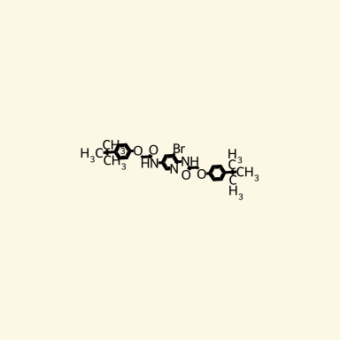 CC(C)(C)c1ccc(OCC(=O)Nc2cnc(NC(=O)COc3ccc(C(C)(C)C)cc3)c(Br)c2)cc1